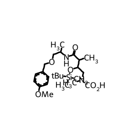 COc1ccc(COCC(C)NC(=O)C(C)C(CN(C)C(=O)O)O[Si](C)(C)C(C)(C)C)cc1